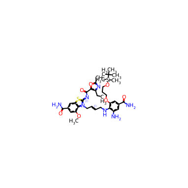 CCc1nc(C)oc1C(=O)/N=c1\sc2cc(C(N)=O)cc(OC)c2n1C/C=C/CNc1c(N)cc(C(N)=O)cc1OCCCO[Si](C)(C)C(C)(C)C